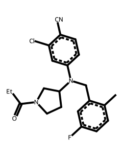 CCC(=O)N1CCC(N(Cc2cc(F)ccc2C)c2ccc(C#N)c(Cl)c2)C1